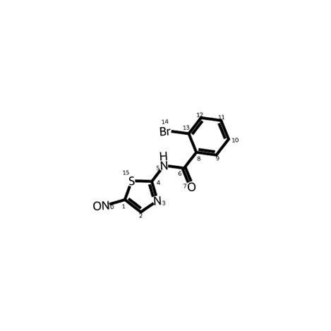 O=Nc1cnc(NC(=O)c2ccccc2Br)s1